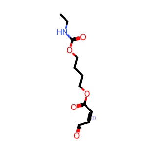 CCNC(=O)OCCCCOC(=O)/C=C\C=O